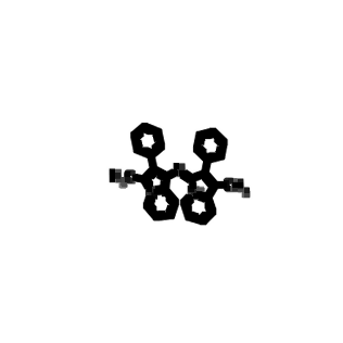 CC1=C(c2ccccc2)/C(=N/c2c(-c3ccccc3)c(C)n3ccccc23)[n+]2ccccc21